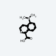 CN(C)c1cccc2c(C(=O)O)nccc12